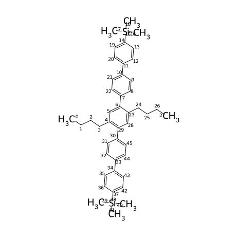 CCCCc1cc(-c2ccc(-c3ccc([Si](C)(C)C)cc3)cc2)c(CCCC)cc1-c1ccc(-c2ccc([Si](C)(C)C)cc2)cc1